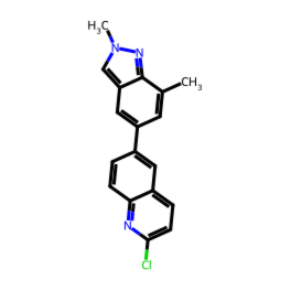 Cc1cc(-c2ccc3nc(Cl)ccc3c2)cc2cn(C)nc12